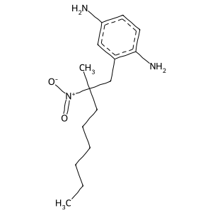 CCCCCCC(C)(Cc1cc(N)ccc1N)[N+](=O)[O-]